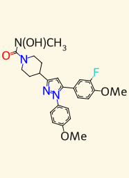 COc1ccc(-n2nc(C3CCN(C(=O)N(C)O)CC3)cc2-c2ccc(OC)c(F)c2)cc1